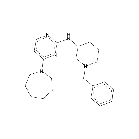 c1ccc(CN2CCCC(Nc3nccc(N4CCCCCC4)n3)C2)cc1